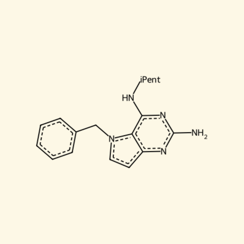 CCCC(C)Nc1nc(N)nc2ccn(Cc3ccccc3)c12